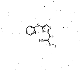 N=C(N)Nc1ncc(Sc2ccccn2)s1